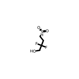 O=[SH](=O)CCC(F)(F)[CH]O